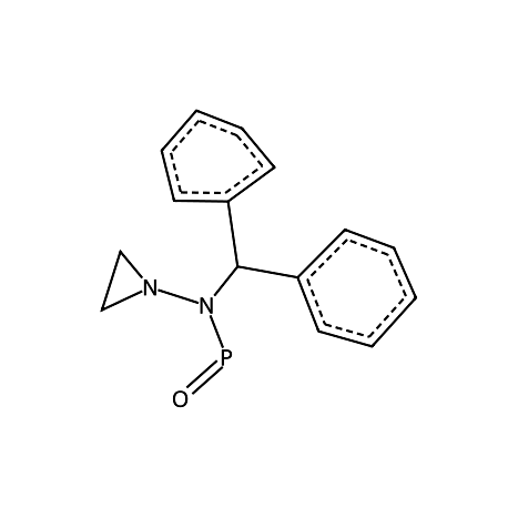 O=PN(C(c1ccccc1)c1ccccc1)N1CC1